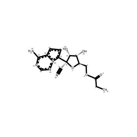 CCC(=O)OC[C@H]1O[C@@](C#N)(c2ccc3c(N)ncnn23)[C@H](O)[C@@H]1O